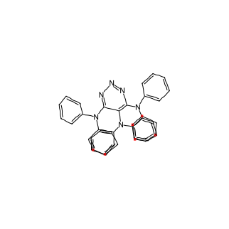 c1ccc(N(c2ccccc2)c2nnnc(N(c3ccccc3)c3ccccc3)c2N(c2ccccc2)c2ccccc2)cc1